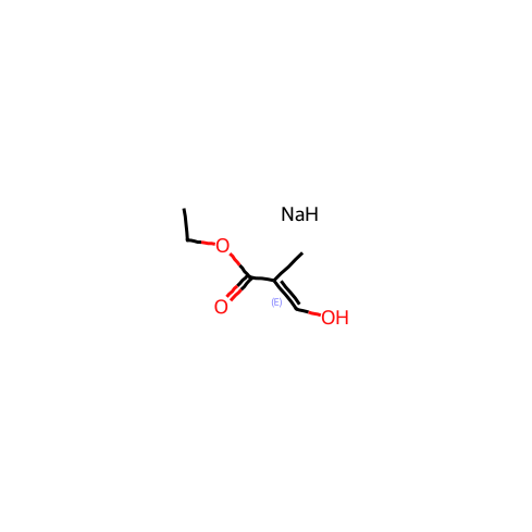 CCOC(=O)/C(C)=C/O.[NaH]